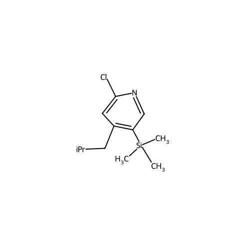 CC(C)Cc1cc(Cl)ncc1[Si](C)(C)C